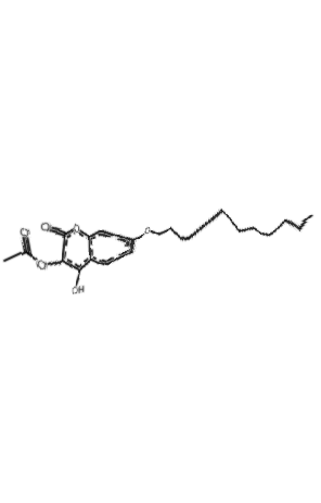 CCCCCCCCCCOc1ccc2c(O)c(OC(C)=O)c(=O)oc2c1